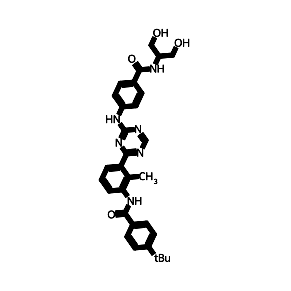 Cc1c(NC(=O)c2ccc(C(C)(C)C)cc2)cccc1-c1ncnc(Nc2ccc(C(=O)NC(CO)CO)cc2)n1